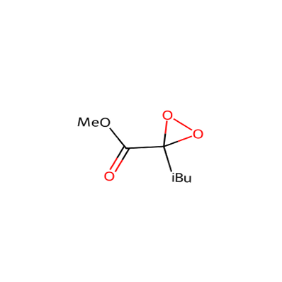 CCC(C)C1(C(=O)OC)OO1